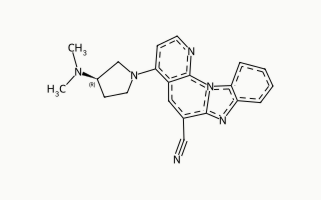 CN(C)[C@@H]1CCN(c2ccnc3c2cc(C#N)c2nc4ccccc4n23)C1